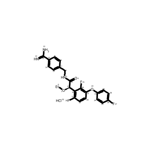 CCO[C@@H](C(=O)NCc1ccc(C(=N)N)cc1)c1c(F)ccc(Oc2ccc(F)cc2)c1F.Cl